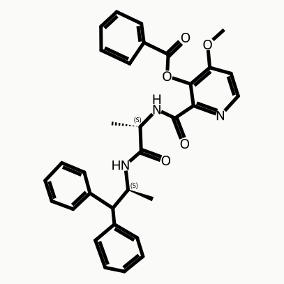 COc1ccnc(C(=O)N[C@@H](C)C(=O)N[C@@H](C)C(c2ccccc2)c2ccccc2)c1OC(=O)c1ccccc1